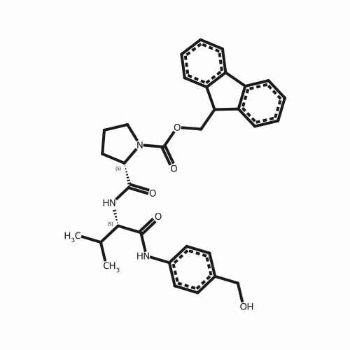 CC(C)[C@H](NC(=O)[C@@H]1CCCN1C(=O)OCC1c2ccccc2-c2ccccc21)C(=O)Nc1ccc(CO)cc1